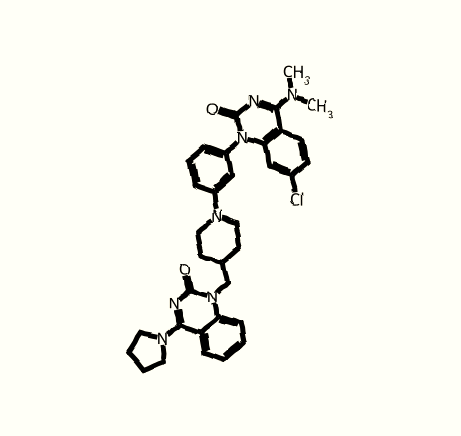 CN(C)c1nc(=O)n(-c2cccc(N3CCC(Cn4c(=O)nc(N5CCCC5)c5ccccc54)CC3)c2)c2cc(Cl)ccc12